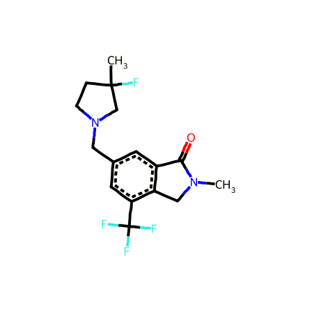 CN1Cc2c(cc(CN3CCC(C)(F)C3)cc2C(F)(F)F)C1=O